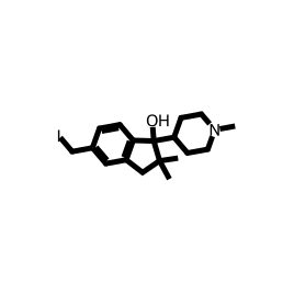 CN1CCC(C2(O)c3ccc(CI)cc3CC2(C)C)CC1